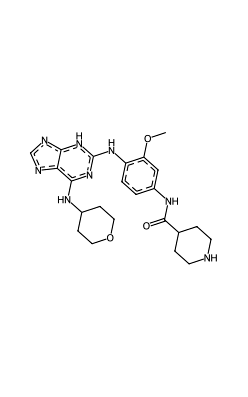 COc1cc(NC(=O)C2CCNCC2)ccc1Nc1nc(NC2CCOCC2)c2ncnc-2[nH]1